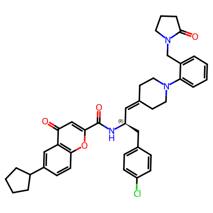 O=C(N[C@@H](C=C1CCN(c2ccccc2CN2CCCC2=O)CC1)Cc1ccc(Cl)cc1)c1cc(=O)c2cc(C3CCCC3)ccc2o1